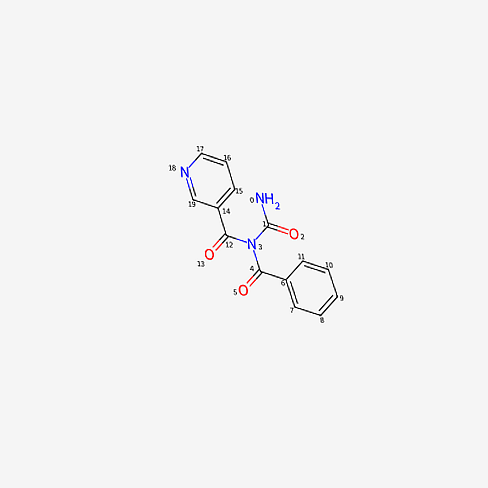 NC(=O)N(C(=O)c1ccccc1)C(=O)c1cccnc1